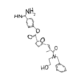 C/C(=C\c1ccc(C(=O)Oc2ccc(C(=N)N)cc2)o1)C(=O)N(CCO)Cc1ccccc1